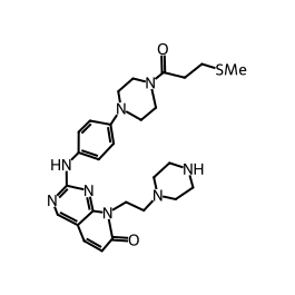 CSCCC(=O)N1CCN(c2ccc(Nc3ncc4ccc(=O)n(CCN5CCNCC5)c4n3)cc2)CC1